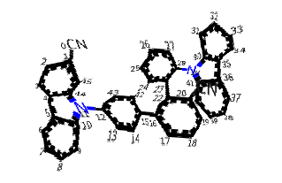 N#Cc1ccc2c3ccccc3n(-c3ccc(-c4cccc(C#N)c4-c4ccccc4-n4c5ccccc5c5ccccc54)cc3)c2c1